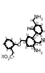 CCOC(=O)Cc1ccccc1OCc1cc(N)c(C=N)c(-c2cccc(CN)c2F)c1